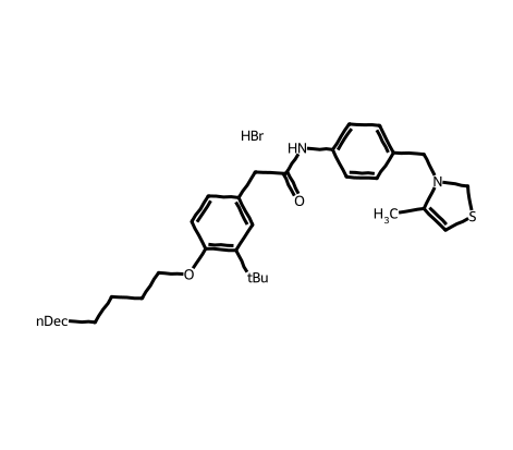 Br.CCCCCCCCCCCCCCOc1ccc(CC(=O)Nc2ccc(CN3CSC=C3C)cc2)cc1C(C)(C)C